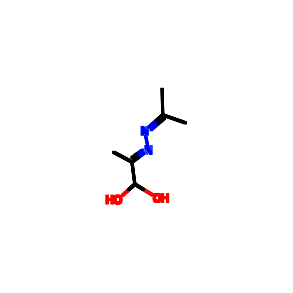 CC(C)=N/N=C(\C)C(O)O